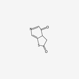 O=C1CC2C(=O)C=NC=C2S1